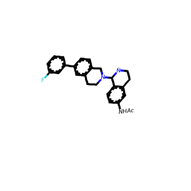 CC(=O)Nc1ccc2c(c1)CC[N]C2N1CCc2cc(-c3cccc(F)c3)ccc2C1